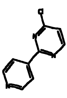 Clc1ccnc(-c2ccncc2)n1